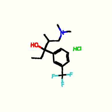 CCC(O)(c1cccc(C(F)(F)F)c1)C(C)CN(C)C.Cl